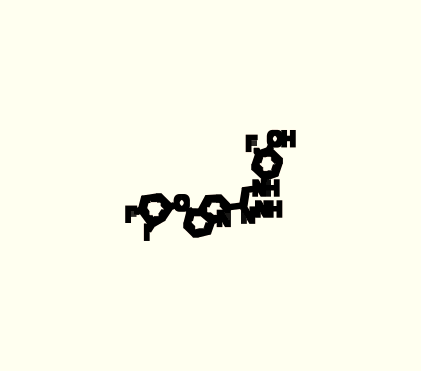 N=N/C(=C\Nc1ccc(O)c(F)c1)c1ccc2c(Oc3ccc(F)c(I)c3)cccc2n1